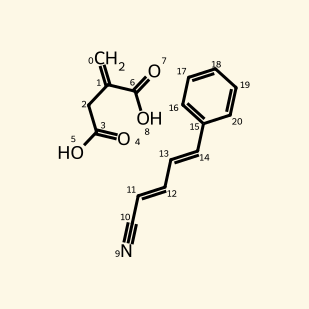 C=C(CC(=O)O)C(=O)O.N#CC=CC=Cc1ccccc1